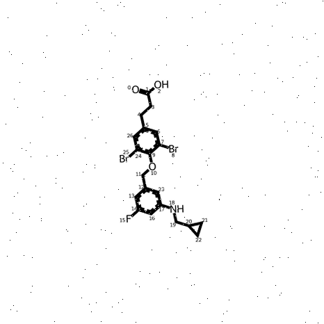 O=C(O)CCc1cc(Br)c(OCc2cc(F)cc(NCC3CC3)c2)c(Br)c1